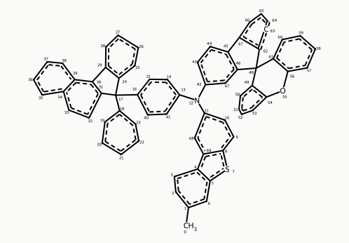 Cc1ccc2c(c1)sc1ccc(N(c3ccc(C4(c5ccccc5)c5ccccc5-c5c4ccc4ccccc54)cc3)c3ccc4c(c3)C3(c5ccccc5Oc5ccccc53)c3ccccc3-4)cc12